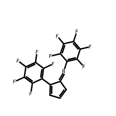 Fc1c(F)c(F)c(B=C2C=CC=C2c2c(F)c(F)c(F)c(F)c2F)c(F)c1F